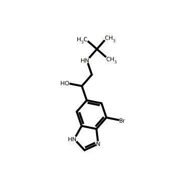 CC(C)(C)NCC(O)c1cc(Br)c2nc[nH]c2c1